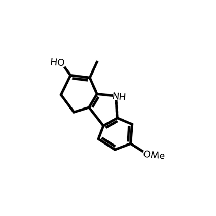 COc1ccc2c3c([nH]c2c1)C(C)=C(O)CC3